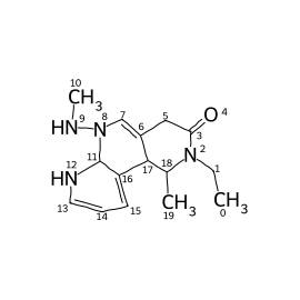 CCN1C(=O)CC2=CN(NC)C3NC=CC=C3C2C1C